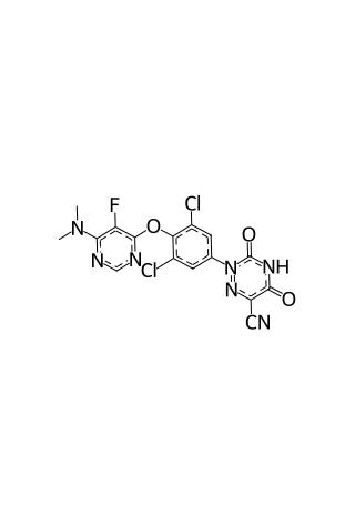 CN(C)c1ncnc(Oc2c(Cl)cc(-n3nc(C#N)c(=O)[nH]c3=O)cc2Cl)c1F